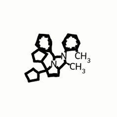 Cc1ccccc1N1C(c2ccccc2)N2C(C=CC2(C2CCCC2)C2CCCC2)[C@@H]1C